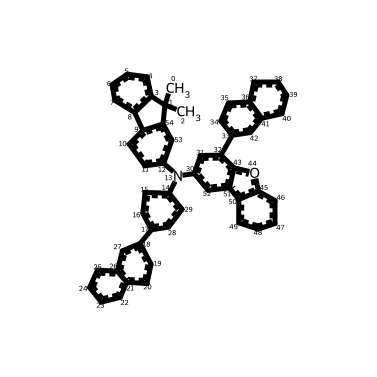 CC1(C)c2ccccc2-c2ccc(N(c3ccc(-c4ccc5ccccc5c4)cc3)c3cc(-c4ccc5ccccc5c4)c4oc5ccccc5c4c3)cc21